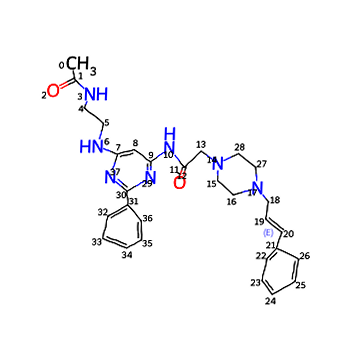 CC(=O)NCCNc1cc(NC(=O)CN2CCN(C/C=C/c3ccccc3)CC2)nc(-c2ccccc2)n1